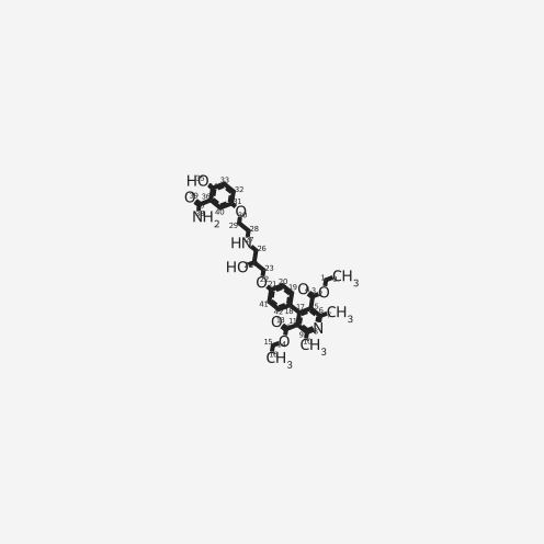 CCOC(=O)c1c(C)nc(C)c(C(=O)OCC)c1-c1ccc(OCC(O)CNCCOc2ccc(O)c(C(N)=O)c2)cc1